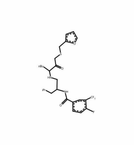 CCCCC(NCC(CC(C)C)NC(=O)c1ccc(F)c(C(F)(F)F)c1)C(=O)CSCc1ccco1